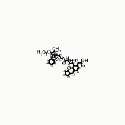 CCOC(=O)[C@@H](C)OP(=O)(CCNC(=O)CCC(=O)c1cc(CC2CCCC2=O)ccc1C(C)C(=O)O)Oc1ccccc1